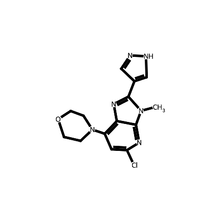 Cn1c(-c2cn[nH]c2)nc2c(N3CCOCC3)cc(Cl)nc21